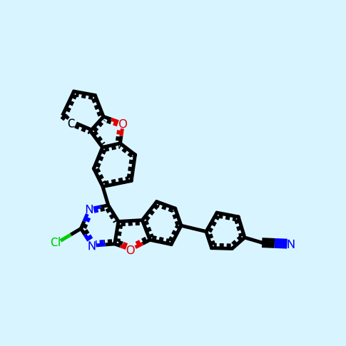 N#Cc1ccc(-c2ccc3c(c2)oc2nc(Cl)nc(-c4ccc5oc6ccccc6c5c4)c23)cc1